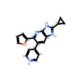 c1coc(-c2nc3[nH]c(C4CC4)nc3cc2-c2ccncc2)c1